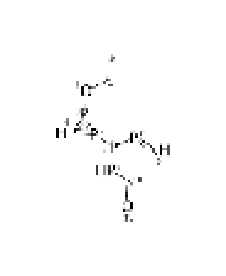 CCOp1[pH]p1P(P=N)PC=O